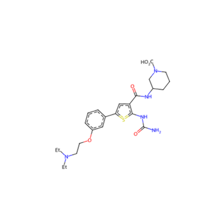 CCN(CC)CCOc1cccc(-c2cc(C(=O)NC3CCCN(C(=O)O)C3)c(NC(N)=O)s2)c1